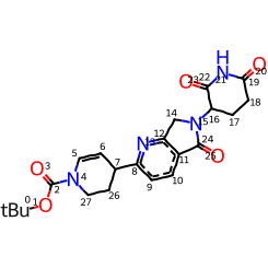 CC(C)(C)OC(=O)N1C=CC(c2ccc3c(n2)CN(C2CCC(=O)NC2=O)C3=O)CC1